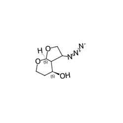 [N-]=[N+]=NC1CO[C@@H]2OCC[C@H](O)C12